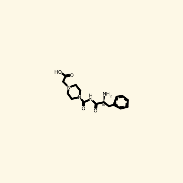 N[C@@H](Cc1ccccc1)C(=O)NC(=O)N1CCN(CC(=O)O)CC1